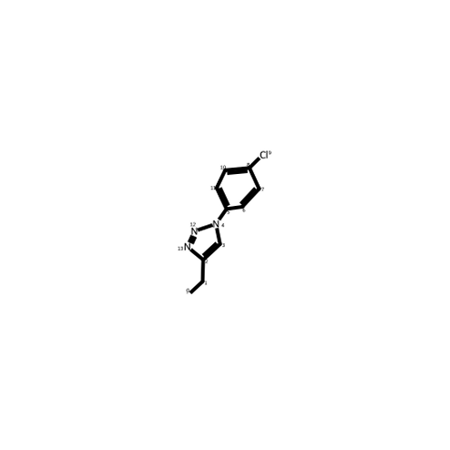 [CH2]Cc1cn(-c2ccc(Cl)cc2)nn1